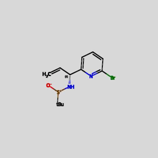 C=C[C@@H](N[S+]([O-])C(C)(C)C)c1cccc(Br)n1